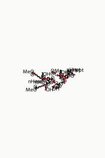 CCCCCCCC(OCC(C)O)C(CCCCCCC)OC(=O)c1ccc(C(=O)OC(C)COCC(COCC(C)OC(=O)c2ccc(C(=O)OC(CCCCCCC)C(CCCCCCC(=O)OC)OCC(C)O)cc2C(=O)OC(CCCCCCC)C(CCCCCCC(=O)OC)OCC(C)O)OCC(C)OCC(C)O)c(C(=O)OC(C)C(CCCCC(=O)OC)OCC(C)O)c1